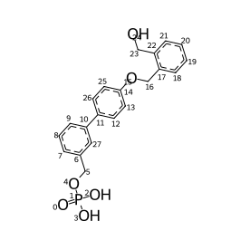 O=P(O)(O)OCc1cccc(-c2ccc(OCc3ccccc3CO)cc2)c1